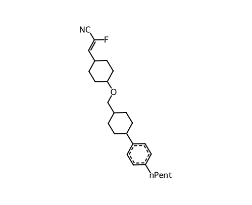 CCCCCc1ccc(C2CCC(COC3CCC(C=C(F)C#N)CC3)CC2)cc1